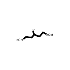 CCCCCCCCCCC(Br)CCCCCCCCCC